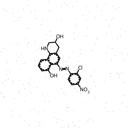 O=[N+]([O-])c1ccc(N=Nc2cc3c(c4cccc(O)c24)NCC(O)C3)c(Cl)c1